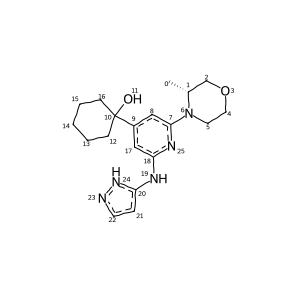 C[C@@H]1COCCN1c1cc(C2(O)CCCCC2)cc(Nc2ccn[nH]2)n1